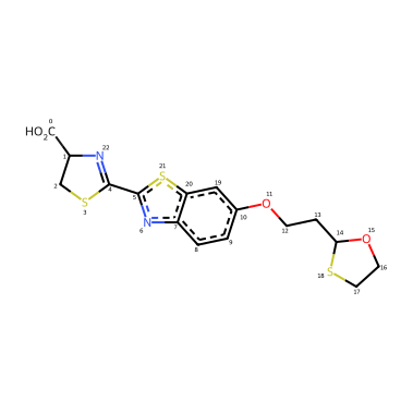 O=C(O)C1CSC(c2nc3ccc(OCCC4OCCS4)cc3s2)=N1